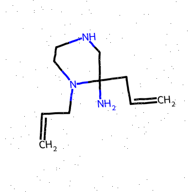 C=CCN1CCNCC1(N)CC=C